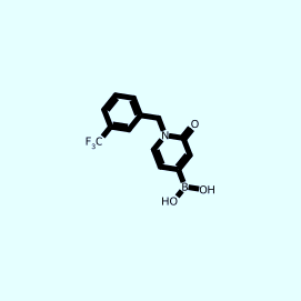 O=c1cc(B(O)O)ccn1Cc1cccc(C(F)(F)F)c1